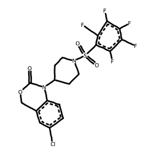 O=C1OCc2cc(Cl)ccc2N1C1CCN(S(=O)(=O)c2c(F)c(F)c(F)c(F)c2F)CC1